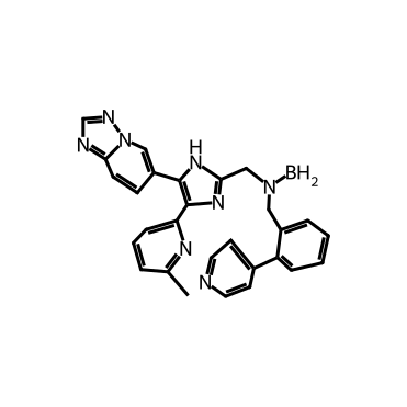 BN(Cc1nc(-c2cccc(C)n2)c(-c2ccc3ncnn3c2)[nH]1)Cc1ccccc1-c1ccncc1